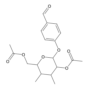 CC(=O)OCC1OC(Oc2ccc(C=O)cc2)C(OC(C)=O)C(C)C1C